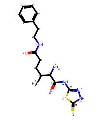 CC(CCC(=O)NCCc1ccccc1)C(N)C(=O)Nc1n[nH]c(=S)s1